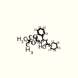 CC(C)(C)OC(=O)NC(CC(=O)N1CCCCC1)c1ccccc1